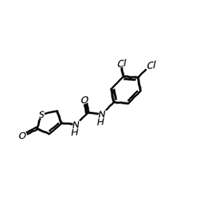 O=C(NC1=CC(=O)SC1)Nc1ccc(Cl)c(Cl)c1